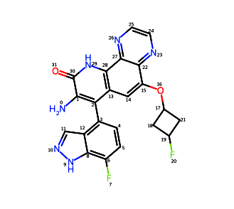 Nc1c(-c2ccc(F)c3[nH]ncc23)c2cc(OC3CC(F)C3)c3nccnc3c2[nH]c1=O